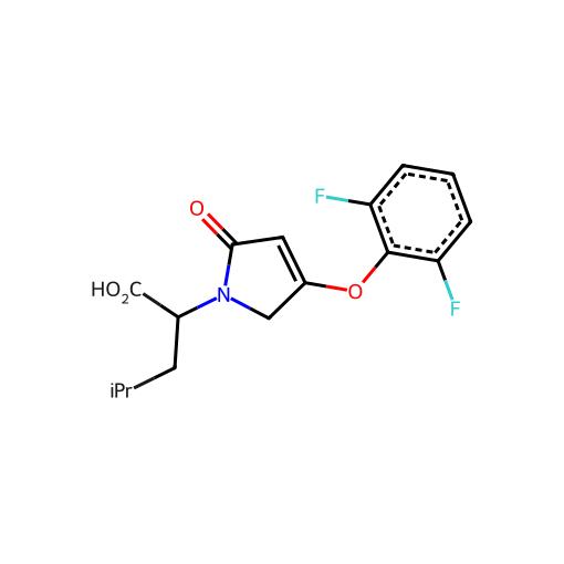 CC(C)CC(C(=O)O)N1CC(Oc2c(F)cccc2F)=CC1=O